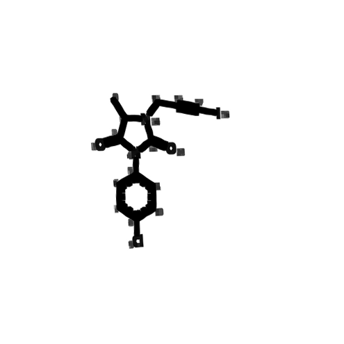 CC1C(=O)N(c2ccc(Cl)cc2)C(=O)N1CC#CI